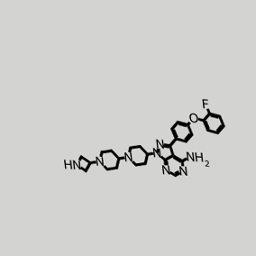 Nc1ncnc2c1c(-c1ccc(Oc3ccccc3F)cc1)nn2C1CCN(C2CCN(C3CNC3)CC2)CC1